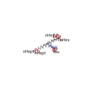 CCCCCCCC(CCCCCCC)OC(=O)CCCCCCCN(CCCCCCC(C(=O)OCCCCCC)C(=O)OCCCCCC)CCCNC(=O)OC(C)(C)C